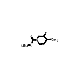 COC1CCN(C(=O)OC(C)(C)C)CC1F